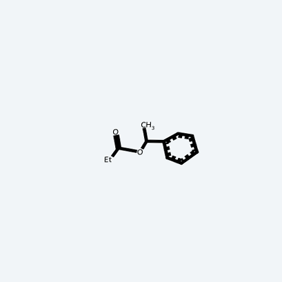 CCC(=O)OC(C)c1ccccc1